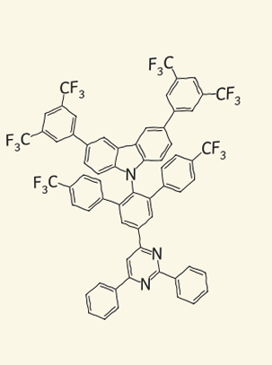 FC(F)(F)c1ccc(-c2cc(-c3cc(-c4ccccc4)nc(-c4ccccc4)n3)cc(-c3ccc(C(F)(F)F)cc3)c2-n2c3ccc(-c4cc(C(F)(F)F)cc(C(F)(F)F)c4)cc3c3cc(-c4cc(C(F)(F)F)cc(C(F)(F)F)c4)ccc32)cc1